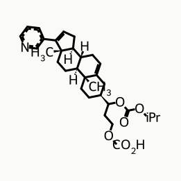 CC(C)OC(=O)OC(CCOC(=O)O)[C@H]1CC[C@@]2(C)C(=CC[C@@H]3[C@@H]2CC[C@]2(C)C(c4cccnc4)=CC[C@@H]32)C1